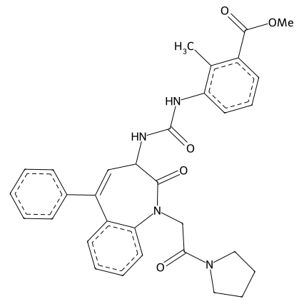 COC(=O)c1cccc(NC(=O)NC2C=C(c3ccccc3)c3ccccc3N(CC(=O)N3CCCC3)C2=O)c1C